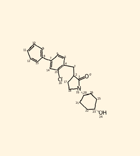 O=C1C(Cc2ccc(-c3ccccc3)cc2Cl)CCN1[C@H]1CC[C@@H](O)CC1